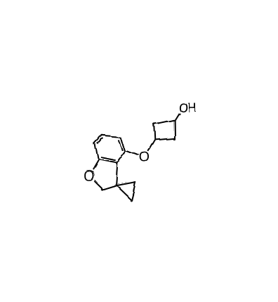 OC1CC(Oc2cccc3c2C2(CC2)CO3)C1